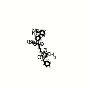 Cc1cn(Cc2ccccc2)c(=O)n(CCCC(=O)N(OC(C)(C)C)C2CCC(C#N)(c3ccccc3C#N)CC2)c1=O